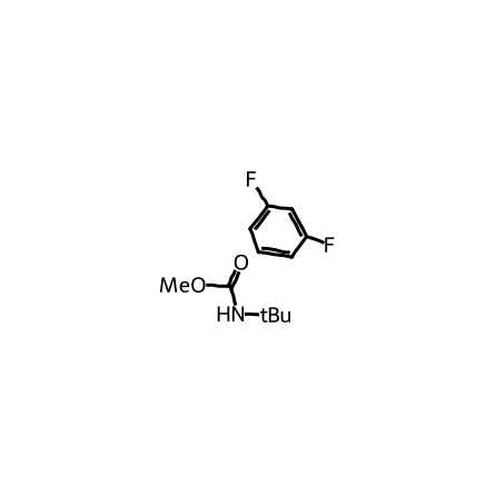 COC(=O)NC(C)(C)C.Fc1cccc(F)c1